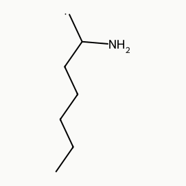 [CH2]C(N)CCCCC